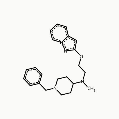 CN(CCOc1cc2ccccn2n1)C1CCN(Cc2ccccc2)CC1